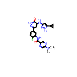 CCN(C)c1cnc(C(=O)Nc2cc(-c3cc(Nc4cc(C5CC5)[nH]n4)c(=O)[nH]n3)ccc2F)cn1